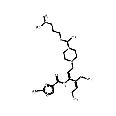 CC/C=C(SC)\C(=C/CN1CCN(C(O)OCCCN(C)C)CC1)NC(=O)c1coc(N)n1